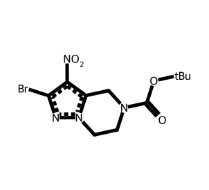 CC(C)(C)OC(=O)N1CCn2nc(Br)c([N+](=O)[O-])c2C1